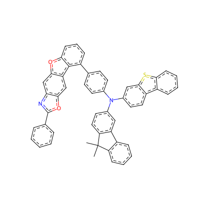 CC1(C)c2ccccc2-c2cc(N(c3ccc(-c4cccc5oc6cc7nc(-c8ccccc8)oc7cc6c45)cc3)c3ccc4c(c3)sc3ccccc34)ccc21